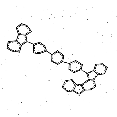 c1ccc2c(c1)sc1ccc3c4ccccc4n(-c4ccc(-c5ccc(-c6ccc(-n7c8ccccc8c8ccccc87)cc6)cc5)cc4)c3c12